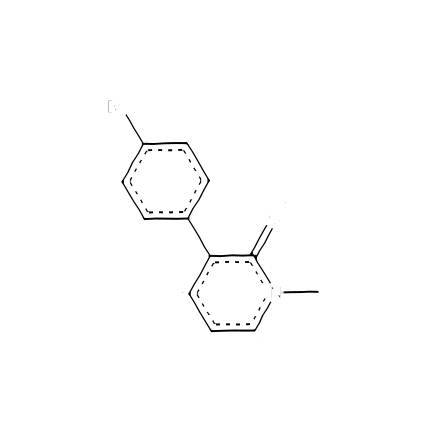 Cn1cccc(-c2ccc(Br)cc2)c1=O